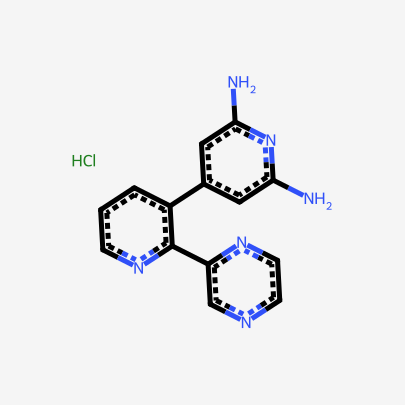 Cl.Nc1cc(-c2cccnc2-c2cnccn2)cc(N)n1